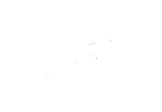 Cc1ccc(C(=O)Nc2ccc(NCCc3ccccn3)cc2)c(N(C)C)c1